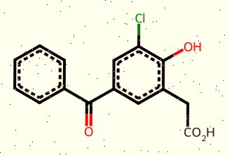 O=C(O)Cc1cc(C(=O)c2ccccc2)cc(Cl)c1O